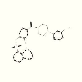 COc1cccc(N2CCN(C(=O)c3ccc(NS(=O)(=O)c4cccc5cccnc45)c(F)c3)CC2)c1